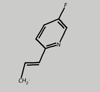 [CH2]C=Cc1ccc(F)cn1